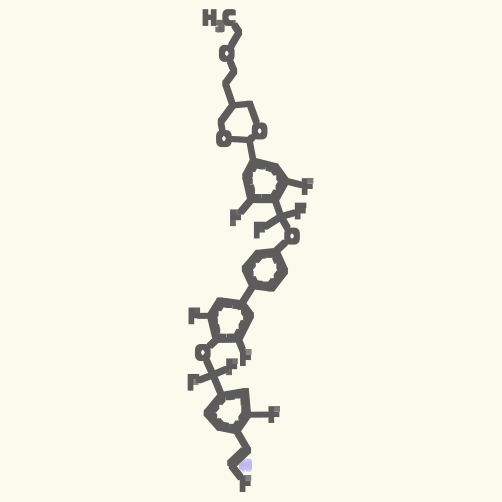 CCOCCC1COC(c2cc(F)c(C(F)(F)Oc3ccc(-c4cc(F)c(OC(F)(F)c5ccc(/C=C/F)c(F)c5)c(F)c4)cc3)c(F)c2)OC1